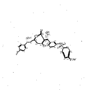 CCC[C@@]1(CCc2ccc(F)cc2)CC(O)=C([C@H](CC)c2cccc(NS(=O)(=O)c3ccc(C#N)cn3)c2)C(=O)O1